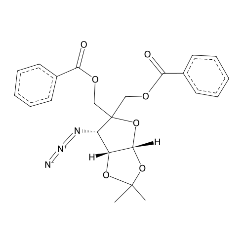 CC1(C)O[C@H]2OC(COC(=O)c3ccccc3)(COC(=O)c3ccccc3)[C@@H](N=[N+]=[N-])[C@H]2O1